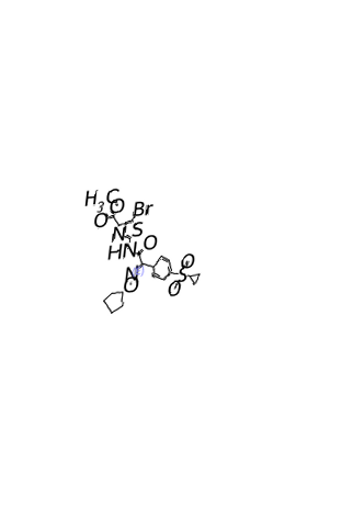 COC(=O)c1nc(NC(=O)/C(=N/OC2CCCC2)c2ccc(S(=O)(=O)C3CC3)cc2)sc1Br